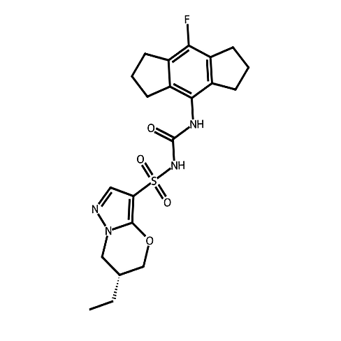 CC[C@H]1COc2c(S(=O)(=O)NC(=O)Nc3c4c(c(F)c5c3CCC5)CCC4)cnn2C1